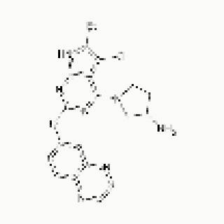 CCc1[nH]c2nc(Oc3ccc4nccnc4c3)nc(N3CC[C@H](N)C3)c2c1Cl